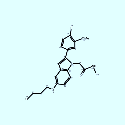 COc1cc(-c2cc3cc(OCCCCl)ccc3n2CC(=O)NC(C)C)ccc1F